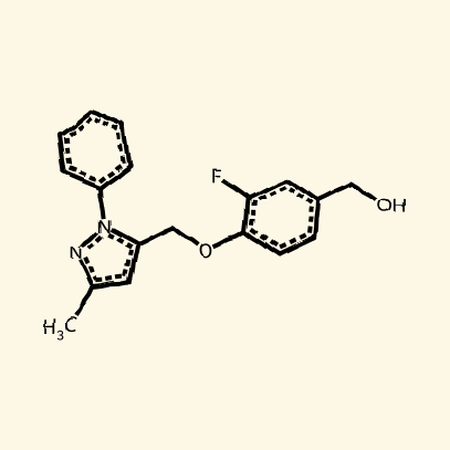 Cc1cc(COc2ccc(CO)cc2F)n(-c2ccccc2)n1